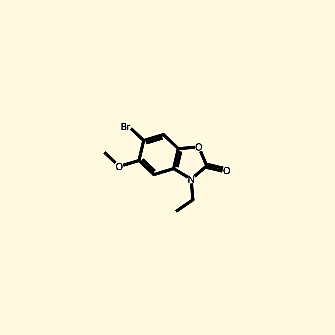 CCn1c(=O)oc2cc(Br)c(OC)cc21